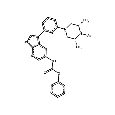 CC(=O)N1[C@H](C)CN(c2cccc(-c3c[nH]c4ncc(NC(=O)Oc5ccccc5)cc34)n2)C[C@@H]1C